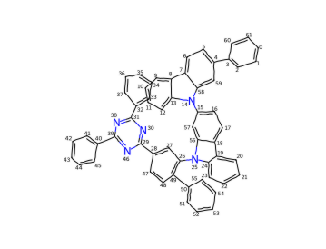 c1ccc(-c2ccc3c4ccccc4n(-c4ccc5c6ccccc6n(-c6cc(-c7nc(-c8ccccc8)nc(-c8ccccc8)n7)ccc6-c6ccccc6)c5c4)c3c2)cc1